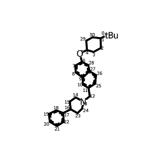 CC(C)(C)C1CCC(Oc2ccc3cc(CN4CCC(c5ccccc5)CC4)ccc3c2)CC1